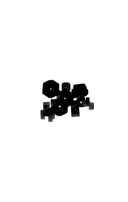 CNc1c(-n2cccn2)c(=O)n(-c2ccccc2)c2nc(C(F)(F)F)ccc12